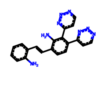 Nc1ccccc1C=Cc1ccc(-c2ccnnn2)c(-c2ccnnn2)c1N